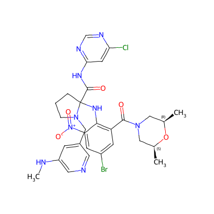 CNc1cncc(CN2CCCC2(Nc2c(C(=O)N3C[C@@H](C)O[C@@H](C)C3)cc(Br)cc2[N+](=O)[O-])C(=O)Nc2cc(Cl)ncn2)c1